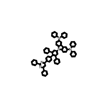 c1ccc(-c2cc(-c3ccc(-c4c(-c5ccccc5)cc(-n5c6ccc(N(c7ccccc7)c7ccccc7)cc6c6cc(N(c7ccccc7)c7ccccc7)ccc65)cc4-c4ccccc4)cc3)nc(-c3ccccc3)n2)cc1